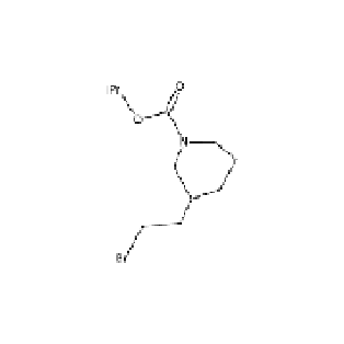 CC(C)OC(=O)N1CCCC(CCBr)C1